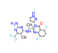 CC(Nc1nc(N)nc(C(F)F)c1C#N)c1nc2c(F)ccc(F)c2c(=O)n1-c1cc[nH]n1